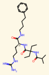 CCC(CC)(NC(=O)C(C)C)C(=O)N[C@@H](CCCNC(=N)N)C(=O)NCCCCc1ccccc1